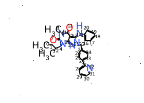 CCC(C)Cn1c(=O)n(C)c(=O)c2c(Nc3ccccc3)n(Cc3ccc(-c4ccccn4)cc3)nc21